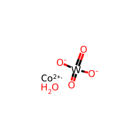 O.[Co+2].[O]=[W](=[O])([O-])[O-]